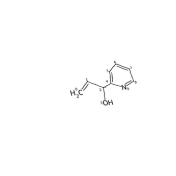 C=C[C](O)c1ccccn1